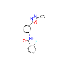 N#Cc1nnc(-c2cccc(NC(=O)c3ccccc3F)c2)o1